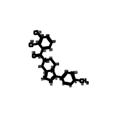 Cc1ccc(-c2nnc3n2CCN(C(=O)c2cccc(Cl)c2Cl)C3)cn1